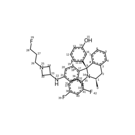 C[C@@H]1Cc2ccccc2[C@@](c2cccc(O)c2)(c2c(F)cc(NC3CN(CCCF)C3)cc2F)N1c1ccc(F)cc1F